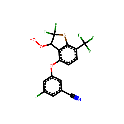 N#Cc1cc(F)cc(Oc2ccc(C(F)(F)F)c3c2C(OO)C(F)(F)S3)c1